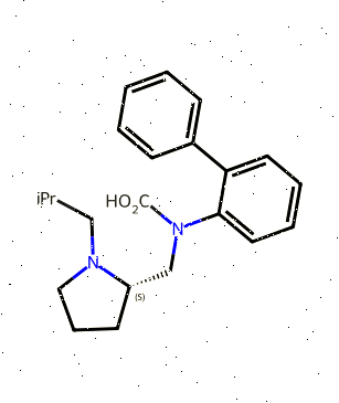 CC(C)CN1CCC[C@H]1CN(C(=O)O)c1ccccc1-c1ccccc1